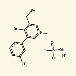 CC(C)Cc1c[n+](C)cc(-c2cccc(C(F)(F)F)c2)c1Br.O=P([O-])([O-])O.[H+]